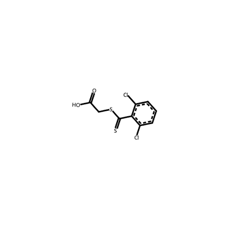 O=C(O)CSC(=S)c1c(Cl)cccc1Cl